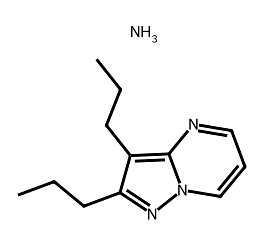 CCCc1nn2cccnc2c1CCC.N